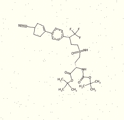 CC(C)(C)OC(=O)N[C@@H](CCS(=N)(=O)CCC(c1ccc(C2=CCC(C#N)CC2)cc1)C(F)(F)F)C(=O)OC(C)(C)C